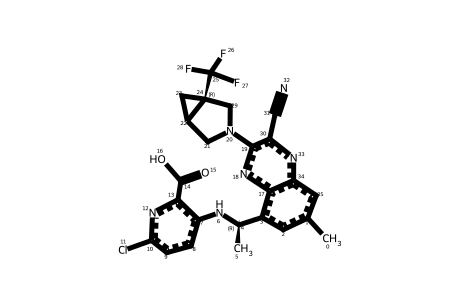 Cc1cc([C@@H](C)Nc2ccc(Cl)nc2C(=O)O)c2nc(N3CC4C[C@]4(C(F)(F)F)C3)c(C#N)nc2c1